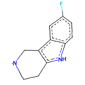 Fc1ccc2[nH]c3c(c2c1)C[N]CC3